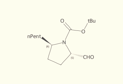 CCCCC[C@@H]1CC[C@@H](C=O)N1C(=O)OC(C)(C)C